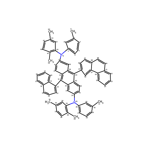 Cc1cccc(N(c2ccc3c(-c4cccc5ccccc45)c4cc(N(c5cccc(C)c5)c5cc(C)ccc5C)ccc4c(-c4ccc5ccc6ccccc6c5c4)c3c2)c2cc(C)ccc2C)c1